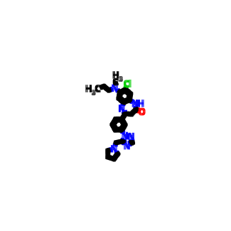 CCCN(C)c1cc2c(cc1Cl)NC(=O)CC(c1cccc(-n3ncnc3CN3CCCC3)c1)=N2